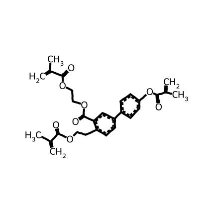 C=C(C)C(=O)OCCOC(=O)c1cc(-c2ccc(OC(=O)C(=C)C)cc2)ccc1CCOC(=O)C(=C)C